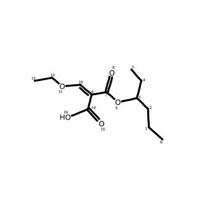 CCCC(CC)OC(=O)C(=COCC)C(=O)O